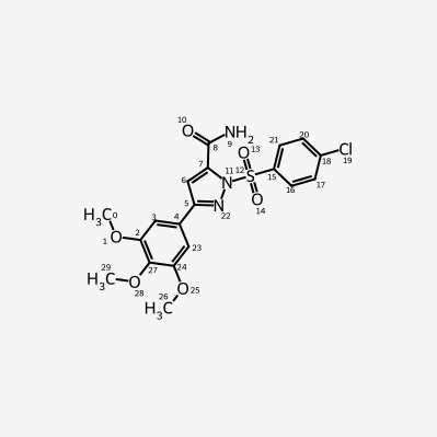 COc1cc(-c2cc(C(N)=O)n(S(=O)(=O)c3ccc(Cl)cc3)n2)cc(OC)c1OC